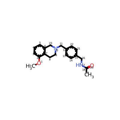 COc1cccc2c1CCN(Cc1ccc(CNC(C)=O)cc1)C2